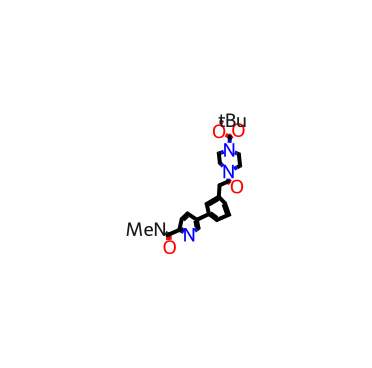 CNC(=O)c1ccc(-c2cccc(CC(=O)N3CCN(C(=O)OC(C)(C)C)CC3)c2)cn1